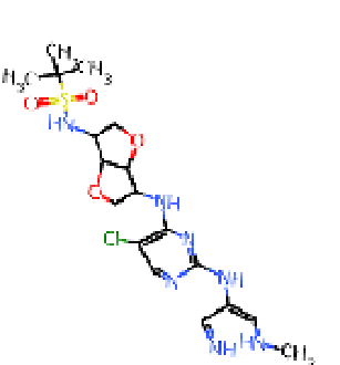 CN/C=C(\C=N)Nc1ncc(Cl)c(NC2COC3C(NS(=O)(=O)C(C)(C)C)COC23)n1